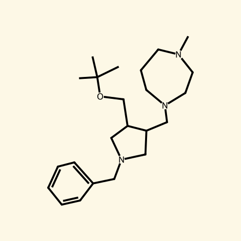 CN1CCCN(CC2CN(Cc3ccccc3)CC2COC(C)(C)C)CC1